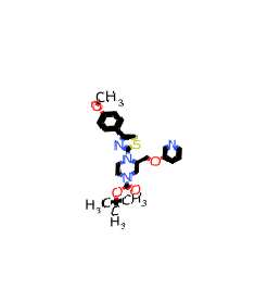 COc1ccc(-c2csc(N3CCN(C(=O)OC(C)(C)C)CC3COc3cccnc3)n2)cc1